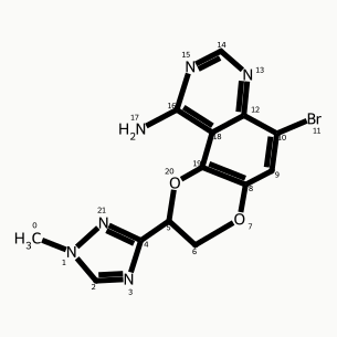 Cn1cnc(C2COc3cc(Br)c4ncnc(N)c4c3O2)n1